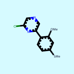 COc1cc(SC)ccc1-c1cncc(Cl)n1